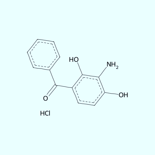 Cl.Nc1c(O)ccc(C(=O)c2ccccc2)c1O